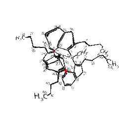 CCCCC1=C([Si](C)(C)C2=C(CCCC)[CH]c3cccc(-c4ccc(CCCC)cc4)c32)c2c(cccc2-c2ccc(CCCC)cc2)[CH]1